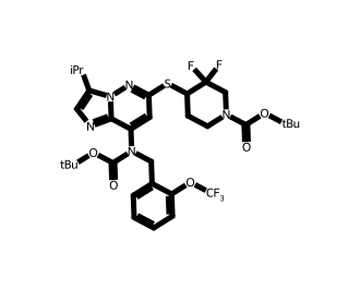 CC(C)c1cnc2c(N(Cc3ccccc3OC(F)(F)F)C(=O)OC(C)(C)C)cc(SC3CCN(C(=O)OC(C)(C)C)CC3(F)F)nn12